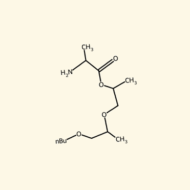 CCCCOCC(C)OCC(C)OC(=O)C(C)N